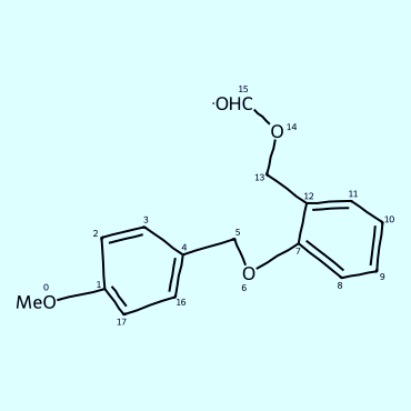 COc1ccc(COc2ccccc2CO[C]=O)cc1